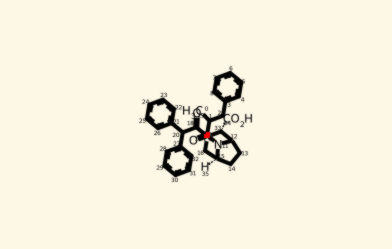 CC(Cc1ccccc1)C(=O)N1C2CC[C@H]1CN(C(=O)C(c1ccccc1)c1ccccc1)[C@@H]2C(=O)O